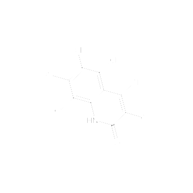 O=c1[nH]c2c(Cl)c(Cl)c(Cl)c(Cl)c2c(Cl)c1Cl